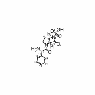 N[C@H](C(=O)N1CC[C@@H]2[C@@H]1C(=O)N2S(=O)(=O)O)c1ccccc1